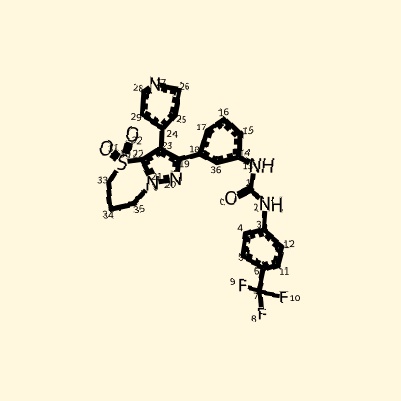 O=C(Nc1ccc(C(F)(F)F)cc1)Nc1cccc(-c2nn3c(c2-c2ccncc2)S(=O)(=O)CCC3)c1